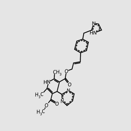 COC(=O)C1=C(C)NC(C)=C(C(=O)OCC=Cc2ccc(Cc3ncc[nH]3)cc2)C1c1ncccn1